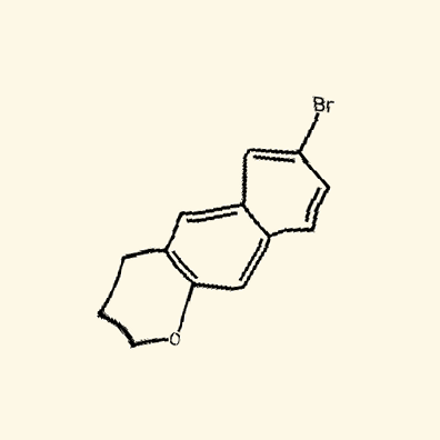 Brc1ccc2cc3c(cc2c1)CCCO3